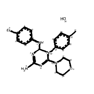 CCc1ccc(NC2N=C(N)N=C(N3CCOCC3)N2c2ccc(C)cc2)cc1.Cl